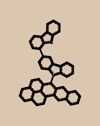 c1ccc2cc3c(cc2c1)c(-n1c2ccccc2c2cc(-c4cccc5c4sc4ccccc45)ccc21)c1ccc2cccc4ccc3c1c24